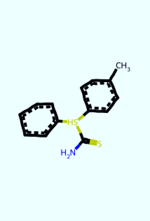 Cc1ccc([SH](C(N)=S)c2ccccc2)cc1